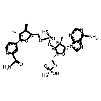 C=C1[C@@H](C)[C@H](c2ccnc(C(N)=O)c2)O[C@@H]1COP(=O)(S)O[C@H]1[C@@H](C)[C@H](n2cnc3c(N)ncnc32)O[C@@H]1COP(=O)(O)S